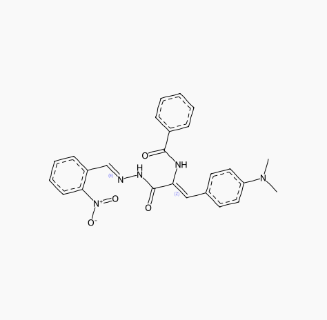 CN(C)c1ccc(/C=C(\NC(=O)c2ccccc2)C(=O)N/N=C/c2ccccc2[N+](=O)[O-])cc1